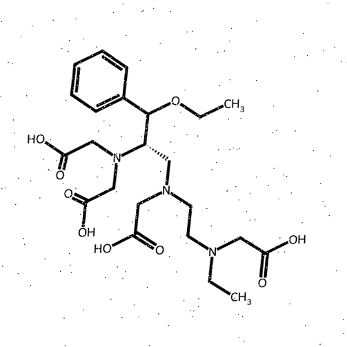 CCOC(c1ccccc1)[C@H](CN(CCN(CC)CC(=O)O)CC(=O)O)N(CC(=O)O)CC(=O)O